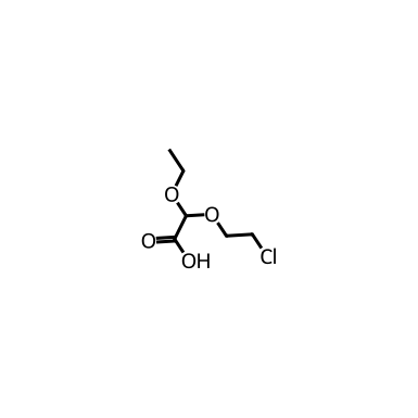 CCOC(OCCCl)C(=O)O